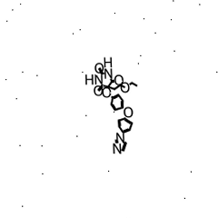 CCOCCC1(Oc2ccc(Oc3ccc(-n4ccnc4)cc3)cc2)C(=O)NC(=O)NC1=O